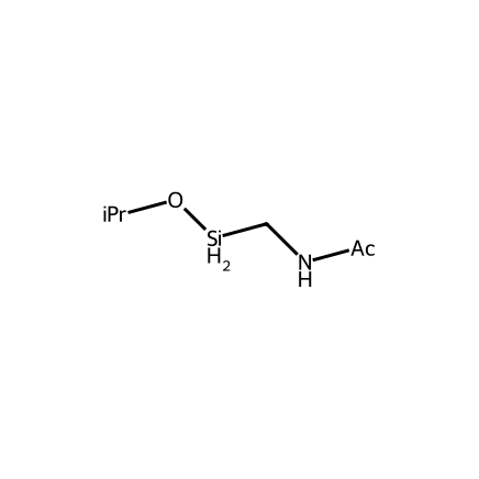 CC(=O)NC[SiH2]OC(C)C